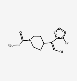 CC(C)(C)OC(=O)N1CCC(C(=CO)c2sccc2Br)CC1